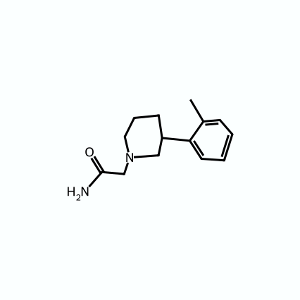 Cc1ccccc1C1CCCN(CC(N)=O)C1